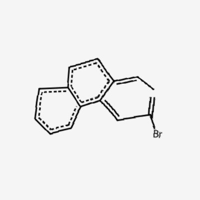 C=C(Br)/C=c1\c(=C/C)ccc2ccccc12